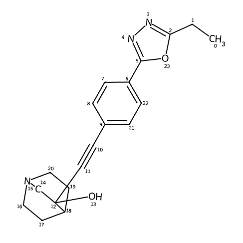 CCc1nnc(-c2ccc(C#CC3(O)CN4CCC3CC4)cc2)o1